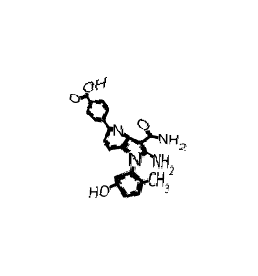 Cc1ccc(O)cc1-n1c(N)c(C(N)=O)c2nc(-c3ccc(C(=O)O)cc3)ccc21